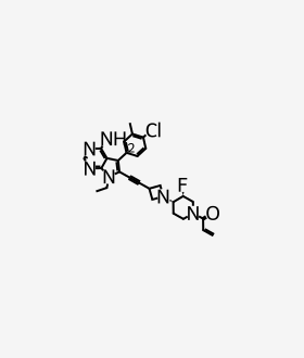 C=CC(=O)N1CC[C@H](N2CC(C#Cc3c(-c4ccc(Cl)c(C)c4)c4c(N)ncnc4n3CC)C2)[C@H](F)C1